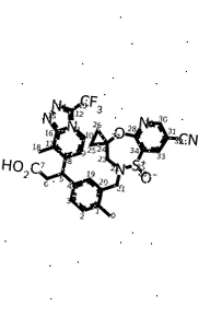 Cc1ccc(C(CC(=O)O)c2ccn3c(C(F)(F)F)nnc3c2C)cc1CN1CC2(CC2)Oc2ncc(C#N)cc2[S+]1[O-]